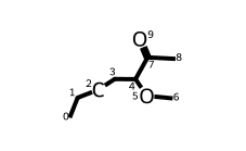 CCCCC(OC)C(C)=O